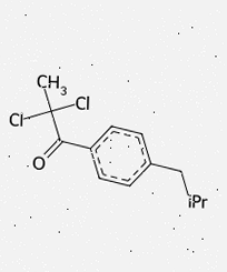 CC(C)Cc1ccc(C(=O)C(C)(Cl)Cl)cc1